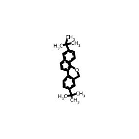 CC(C)(C)c1ccc2c(c1)COc1c-2ccc2cc(C(C)(C)C)ccc12